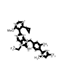 COc1ncnc(C2CC2)c1-c1ncc2c(n1)n(Cc1ccc(-c3nc(C(F)(F)F)cn3C)c(C)c1)c(=N)n2CC(F)(F)F